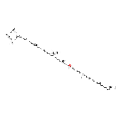 CCNC(=O)[C@H](CCCCNC(=O)CCCC(=O)NCCOCCOCC(=O)CNCOCCOCC(=O)CCCCCC(CC)C(N)=O)CC(=O)COCOCCCC(=O)COCCOCCNC(=O)CN1CCN(COC=O)CCN(COC=O)CCN(CC(=O)O)CC1